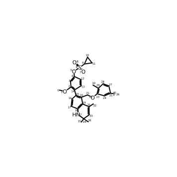 COc1cc(OS(=O)(=O)C2CC2)ccc1-c1ccc2c(c1COc1cc(F)ccc1C)C(C)=CC(C)(C)N2